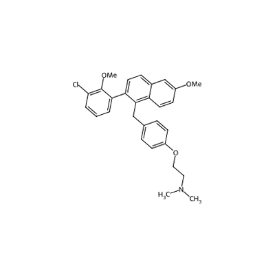 COc1ccc2c(Cc3ccc(OCCN(C)C)cc3)c(-c3cccc(Cl)c3OC)ccc2c1